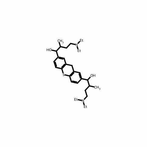 CCN(CC)CCC(C)C(O)c1ccc2c(c1)Cc1cc(C(O)C(C)CCN(CC)CC)ccc1S2